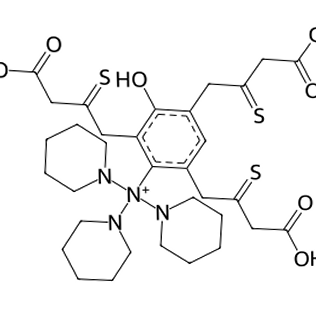 O=C(O)CC(=S)Cc1cc(CC(=S)CC(=O)O)c([N+](N2CCCCC2)(N2CCCCC2)N2CCCCC2)c(CC(=S)CC(=O)O)c1O